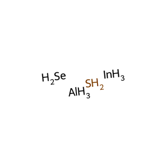 S.[AlH3].[InH3].[SeH2]